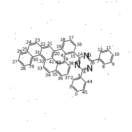 c1ccc(-c2nc(-c3ccccc3)nc(-c3cccc(-c4cc5ccc6ccccc6c5c5ccc6ccccc6c45)c3)n2)cc1